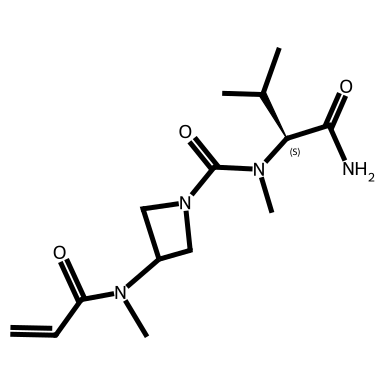 C=CC(=O)N(C)C1CN(C(=O)N(C)[C@H](C(N)=O)C(C)C)C1